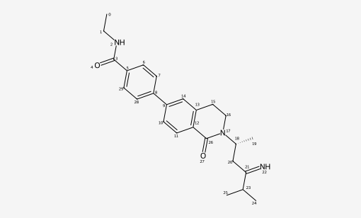 CCNC(=O)c1ccc(-c2ccc3c(c2)CCN([C@H](C)CC(=N)C(C)C)C3=O)cc1